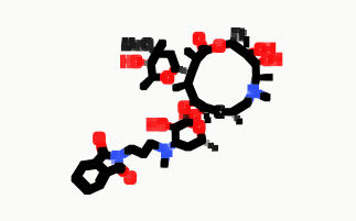 CC[C@H]1OC(=O)[C@H](C)[C@@H](C2C[C@@](C)(OC)[C@@H](O)[C@H](C)O2)[C@H](C)[C@@H](O[C@@H]2O[C@H](C)C[C@H](N(C)CCCN3C(=O)c4ccccc4C3=O)[C@H]2O)[C@](C)(O)C[C@@H](C)CN(C)[C@H](C)[C@@H](O)[C@]1(C)O